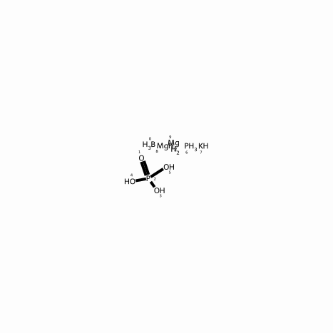 B.O=P(O)(O)O.P.[KH].[MgH2].[MgH2]